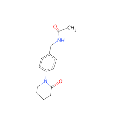 CC(=O)NCc1ccc(N2CCCCC2=O)cc1